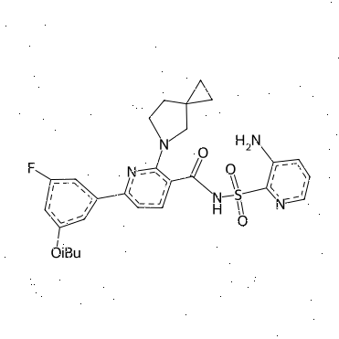 CC(C)COc1cc(F)cc(-c2ccc(C(=O)NS(=O)(=O)c3ncccc3N)c(N3CCC4(CC4)C3)n2)c1